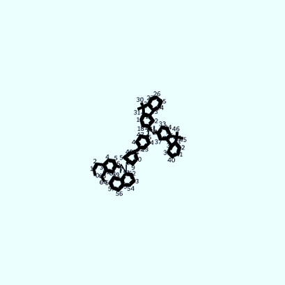 C/C=C\c1ccc(N(c2ccc(-c3ccc(N(c4ccc5c(c4)-c4ccccc4C5(C)C)c4ccc5c(c4)-c4ccccc4C5(C)C)cc3)cc2)c2cccc3ccccc23)cc1CC